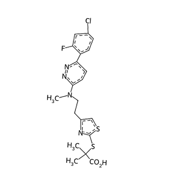 CN(CCc1csc(SC(C)(C)C(=O)O)n1)c1ccc(-c2ccc(Cl)cc2F)nn1